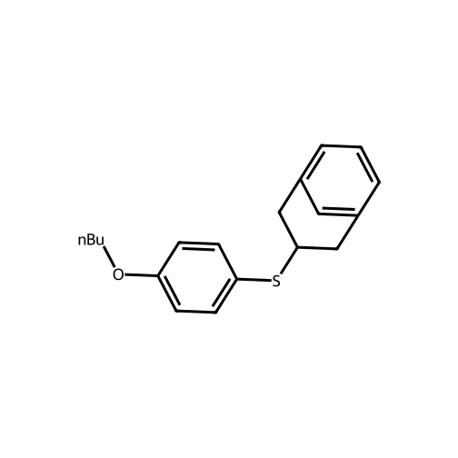 CCCCOc1ccc(SC2Cc3cccc(c3)C2)cc1